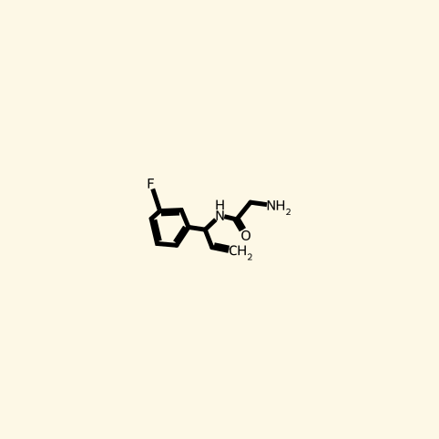 C=CC(NC(=O)CN)c1cccc(F)c1